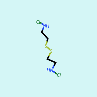 ClNCCSSCCNCl